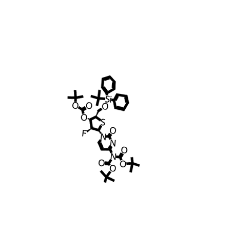 CC(C)(C)OC(=O)O[C@H]1[C@H](F)[C@H](n2ccc(N(C(=O)OC(C)(C)C)C(=O)OC(C)(C)C)nc2=O)S[C@@H]1CO[Si](c1ccccc1)(c1ccccc1)C(C)(C)C